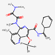 C=C(NC(=O)c1nc(N(C)C(=O)C(=O)N(C)C)c2c(C(=O)O)ccnc2c1O[Si](C(C)C)(C(C)C)C(C)C)C1CC=CCC1